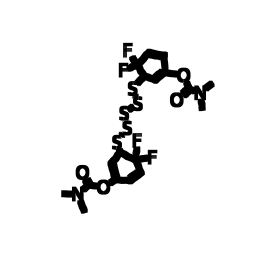 CN(C)C(=O)OC1=CC(SSSSSC2C=C(OC(=O)N(C)C)C=CC2(F)F)C(F)(F)C=C1